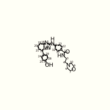 O=C(NCCN1CCOCC1)c1ccc(Nc2nc3cccc(-c4ccc(O)cc4)n3n2)cc1